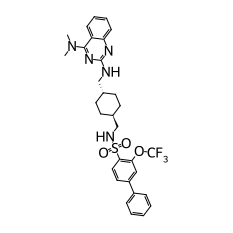 CN(C)c1nc(NC[C@H]2CC[C@H](CNS(=O)(=O)c3ccc(-c4ccccc4)cc3OC(F)(F)F)CC2)nc2ccccc12